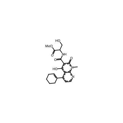 COC(=O)C(CO)NC(=O)c1c(O)c2c(C3=CCCCC3)ccnc2n(C)c1=O